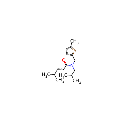 Cc1ccc(CN(CC(C)C)C(=O)/C=C/C(C)C)s1